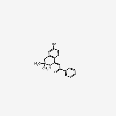 CC(=O)c1ccc2c(c1)CC(C)(C)NC2=CC(=O)c1ccccc1